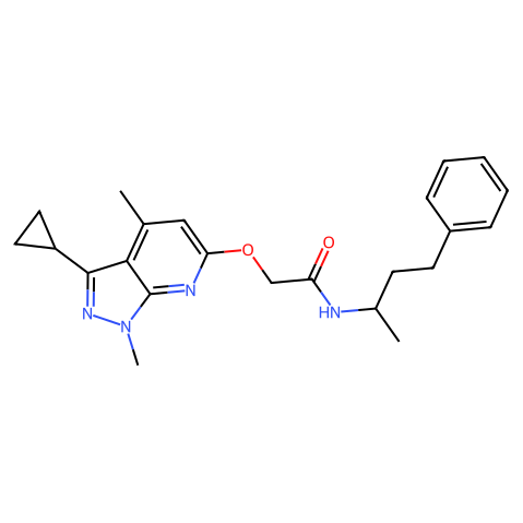 Cc1cc(OCC(=O)NC(C)CCc2ccccc2)nc2c1c(C1CC1)nn2C